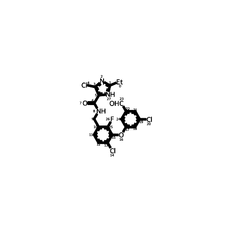 CCc1nc(Cl)c(C(=O)NCc2ccc(Cl)c(Oc3cc(Cl)cc(C=O)c3)c2F)[nH]1